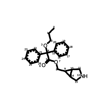 CCCOC(C(=O)OCC1C2CNCC21)(c1ccccc1)c1ccccc1